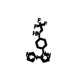 FC(F)(F)CN[C@H]1CC[C@@H](n2nccc2-n2ccnc2)CC1